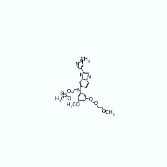 COCCOCOc1cc(OC)cc(N(CCOS(C)(=O)=O)c2ccc3ncc(-c4cnn(C)c4)nc3c2)c1